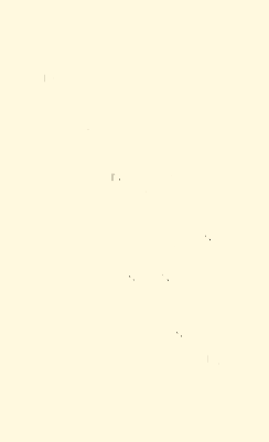 CCC(=O)CNC(=O)c1cnn2c(NC)ccnc12